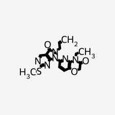 C=CCn1c(=O)c2cnc(SC)nc2n1-c1ccc2c(n1)N(CC)C(=O)CO2